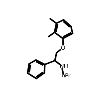 CCCNC(COc1cccc(C)c1C)c1ccccc1